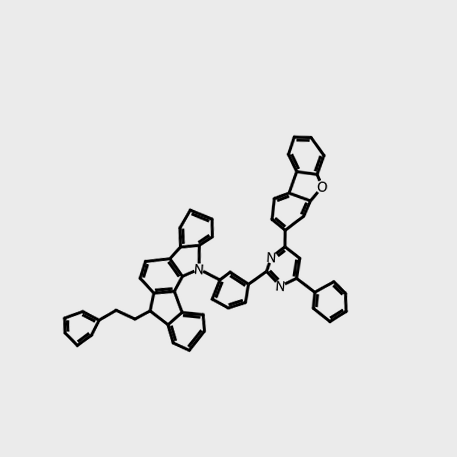 c1ccc(CCC2c3ccccc3-c3c2ccc2c4ccccc4n(-c4cccc(-c5nc(-c6ccccc6)cc(-c6ccc7c(c6)oc6ccccc67)n5)c4)c32)cc1